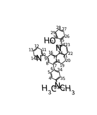 CN(C)c1ccc(-c2cc(-c3ccccn3)cc3c2CCc2ccc(-c4ccccc4O)nc2-3)cc1